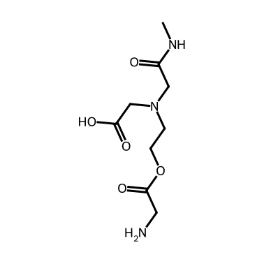 CNC(=O)CN(CCOC(=O)CN)CC(=O)O